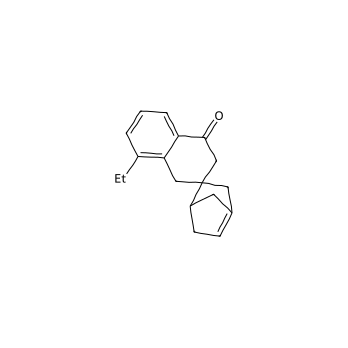 CCc1cccc2c1CC1(CC2=O)CC2=CCC1C2